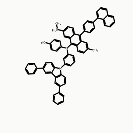 C[SiH2]c1ccc2c(-c3ccc(-c4cccc5ccccc45)cc3)c3cc(C)ccc3c(N(c3ccc(C#N)cc3)c3cccc(-n4c5ccc(-c6ccccc6)cc5c5cc(-c6ccccc6)ccc54)c3)c2c1